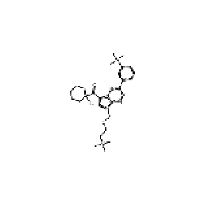 CCC1(C(=O)c2cn(COCC[Si](C)(C)C)c3ncc(-c4cccc([Si](C)(C)C)c4)nc23)CCCCC1